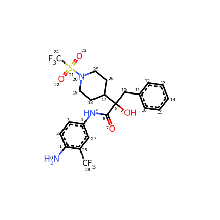 Nc1ccc(NC(=O)C(O)(Cc2ccccc2)C2CCN(S(=O)(=O)C(F)(F)F)CC2)cc1C(F)(F)F